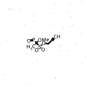 C#CCOS(=O)(=O)C(C)(OC)P=O